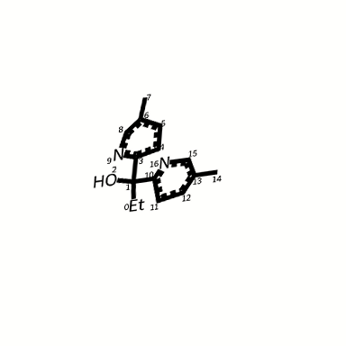 CCC(O)(c1ccc(C)cn1)c1ccc(C)cn1